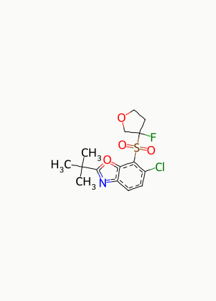 CC(C)(C)c1nc2ccc(Cl)c(S(=O)(=O)C3(F)CCOC3)c2o1